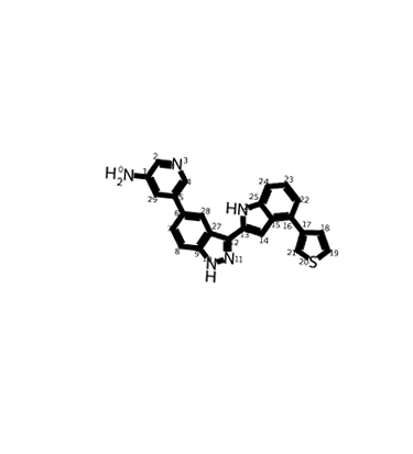 Nc1cncc(-c2ccc3[nH]nc(-c4cc5c(-c6ccsc6)cccc5[nH]4)c3c2)c1